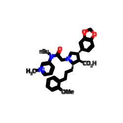 CCCCN(C(=O)CN1C[C@H](c2ccc3c(c2)OCO3)[C@@H](C(=O)O)[C@@H]1CCCc1ccccc1OC)c1ccc[n+](C)c1